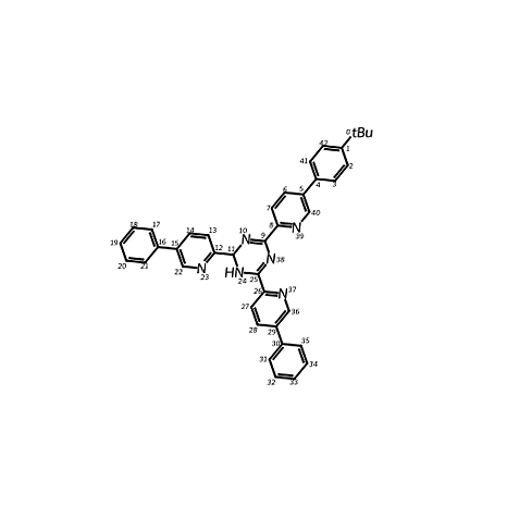 CC(C)(C)c1ccc(-c2ccc(C3=NC(c4ccc(-c5ccccc5)cn4)NC(c4ccc(-c5ccccc5)cn4)=N3)nc2)cc1